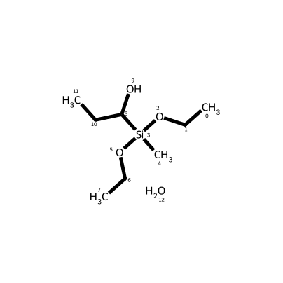 CCO[Si](C)(OCC)C(O)CC.O